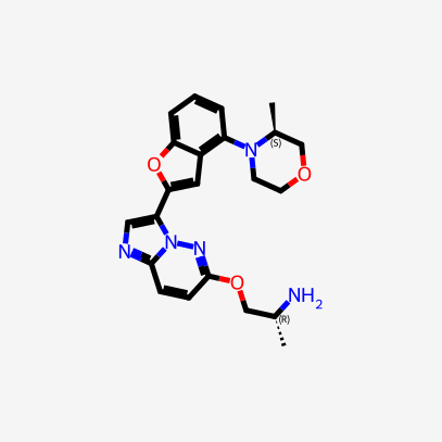 C[C@@H](N)COc1ccc2ncc(-c3cc4c(N5CCOC[C@@H]5C)cccc4o3)n2n1